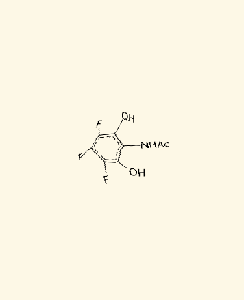 CC(=O)Nc1c(O)c(F)c(F)c(F)c1O